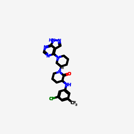 O=C1C(Nc2cc(Cl)cc(C(F)(F)F)c2)CCCN1[C@@H]1CCCN(c2ncnc3[nH]ncc23)C1